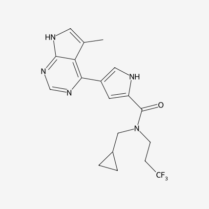 Cc1c[nH]c2ncnc(-c3c[nH]c(C(=O)N(CCC(F)(F)F)CC4CC4)c3)c12